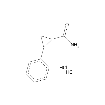 Cl.Cl.NC(=O)C1CC1c1ccccc1